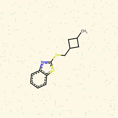 CC1CC(CSc2nc3ccccc3s2)C1